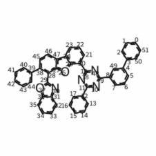 c1ccc(-c2cccc(-c3nc(-c4ccccc4)nc(-c4cccc5c4oc4c(-c6nc7ccccc7o6)c(-c6ccccc6)ccc45)n3)c2)cc1